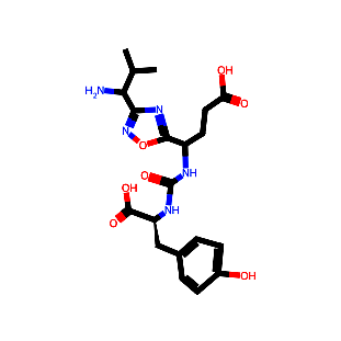 CC(C)C(N)c1noc(C(CCC(=O)O)NC(=O)N[C@@H](Cc2ccc(O)cc2)C(=O)O)n1